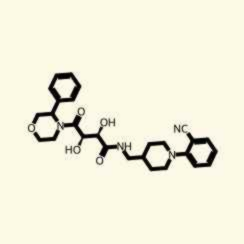 N#Cc1ccccc1N1CCC(CNC(=O)[C@H](O)[C@@H](O)C(=O)N2CCOCC2c2ccccc2)CC1